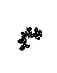 c1ccc(-c2nc(-c3cccc(-c4ccc5c(c4)c4ccccc4c4c6ccccc6c6ccccc6c54)c3)nc(-c3ccc4c5ccccc5c5c6ccccc6c6ccccc6c5c4c3)n2)cc1